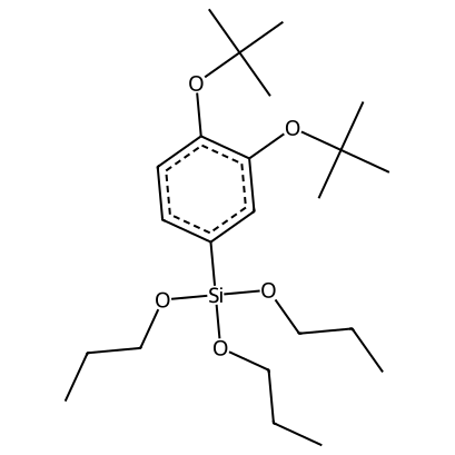 CCCO[Si](OCCC)(OCCC)c1ccc(OC(C)(C)C)c(OC(C)(C)C)c1